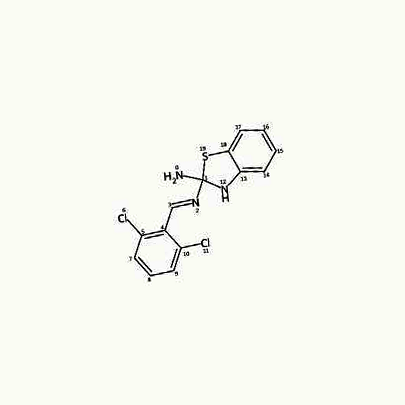 NC1(N=Cc2c(Cl)cccc2Cl)Nc2ccccc2S1